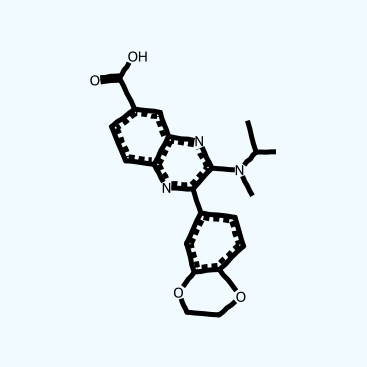 CC(C)N(C)c1nc2cc(C(=O)O)ccc2nc1-c1ccc2c(c1)OCCO2